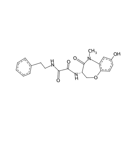 CN1C(=O)[C@@H](NC(=O)C(=O)NCCc2ccccc2)COc2ccc(O)cc21